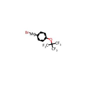 FC(F)(F)C(Oc1cc[c]([Mg][Br])cc1)(C(F)(F)F)C(F)(F)F